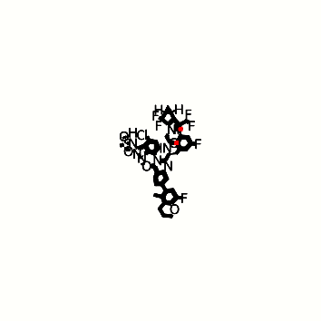 Cc1c(-c2ccc3c(=O)n(-c4ccc(Cl)c5c(NS(C)(=O)=O)nn(C)c45)c([C@H](Cc4cc(F)cc(F)c4)NC(=O)Cn4nc(C(F)F)c5c4C(F)(F)[C@@H]4C[C@H]54)nc3c2)cc(F)c2c1CCCO2